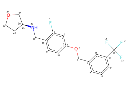 Fc1cc(OCc2cccc(C(F)(F)F)c2)ccc1CN[C@H]1CCOC1